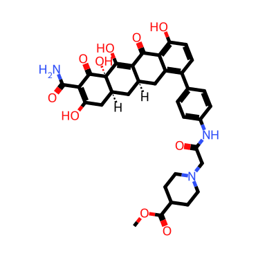 COC(=O)C1CCN(CC(=O)Nc2ccc(-c3ccc(O)c4c3C[C@H]3C[C@H]5CC(O)=C(C(N)=O)C(=O)[C@@]5(O)C(O)=C3C4=O)cc2)CC1